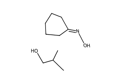 CC(C)CO.ON=C1CCCCC1